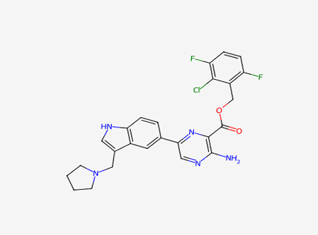 Nc1ncc(-c2ccc3[nH]cc(CN4CCCC4)c3c2)nc1C(=O)OCc1c(F)ccc(F)c1Cl